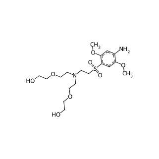 COc1cc(S(=O)(=O)CCN(CCOCCO)CCOCCO)c(OC)cc1N